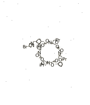 CC(C)C[C@H]1C(=O)O[C@H](Cc2ccc(Cn3cc(Br)cn3)cc2)C(=O)N(C)[C@@H](CC(C)C)C(=O)O[C@H](C)C(=O)N(C)[C@@H](CC(C)C)C(=O)O[C@H](Cc2ccccc2)C(=O)N(C)[C@@H](CC(C)C)C(=O)O[C@H](C)C(=O)N1C